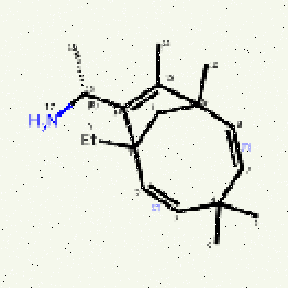 CCC12/C=C\C(C)(C)/C=C\C(C)(C1)C(C)=C2[C@@H](C)N